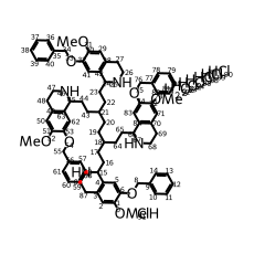 COc1cc2c(cc1OCc1ccccc1)C(CCC(CCC(CCC1NCCc3cc(OC)c(OCc4ccccc4)cc31)CCC1NCCc3cc(OC)c(OCc4ccccc4)cc31)CCC1NCCc3cc(OC)c(OCc4ccccc4)cc31)NCC2.Cl.Cl.Cl.Cl.O.O.O.O